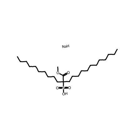 CCCCCCCCCCCCC(CCCCCCCCCC)(C(=O)OC)S(=O)(=O)O.[NaH]